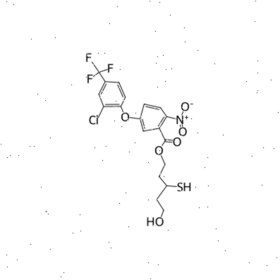 O=C(OCCC(S)CCO)c1cc(Oc2ccc(C(F)(F)F)cc2Cl)ccc1[N+](=O)[O-]